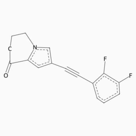 O=C1CCCn2cc(C#Cc3cccc(F)c3F)cc21